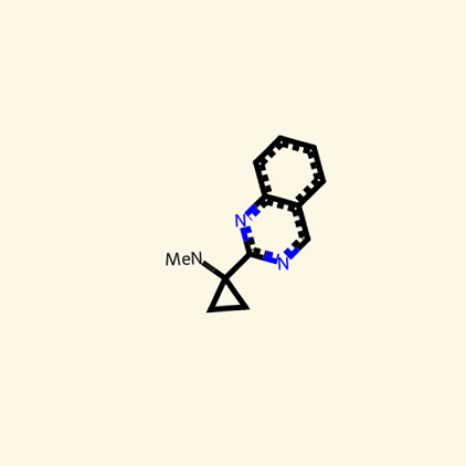 CNC1(c2ncc3ccccc3n2)CC1